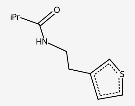 CC(C)C(=O)NCCc1ccsc1